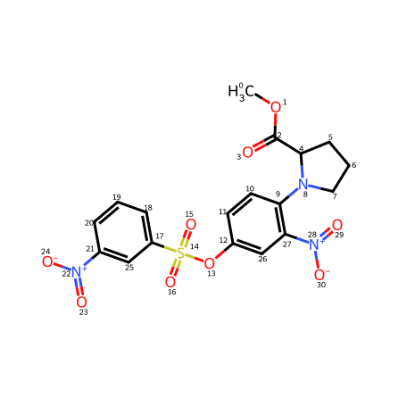 COC(=O)C1CCCN1c1ccc(OS(=O)(=O)c2cccc([N+](=O)[O-])c2)cc1[N+](=O)[O-]